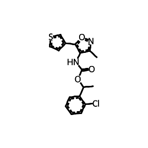 Cc1noc(-c2ccsc2)c1NC(=O)OC(C)c1ccccc1Cl